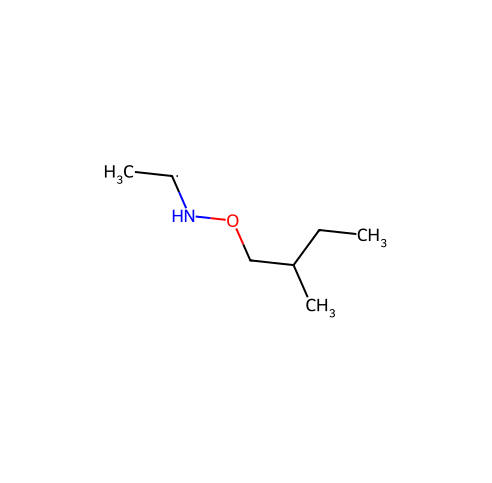 C[CH]NOCC(C)CC